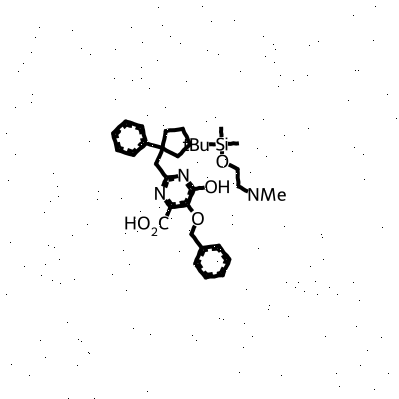 CNCCO[Si](C)(C)C(C)(C)C.O=C(O)c1nc(CC2(c3ccccc3)CCCC2)nc(O)c1OCc1ccccc1